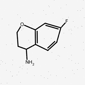 NC1CCOc2cc(F)ccc21